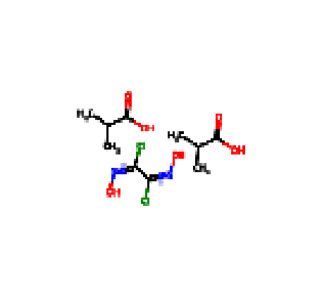 CC(C)C(=O)O.CC(C)C(=O)O.O/N=C(Cl)\C(Cl)=N/O